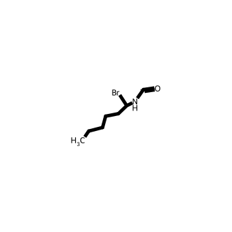 CCCCCC(Br)N[C]=O